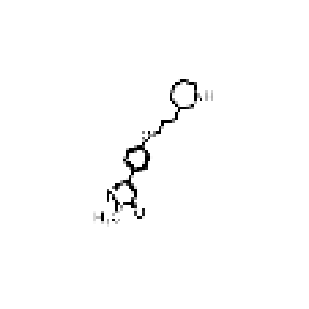 Cn1ncc(-c2ccc(OCCCC3CCCCNC3)cc2)cc1=O